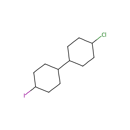 ClC1CCC(C2CCC(I)CC2)CC1